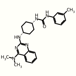 Cc1cccc(NC(=O)N[C@H]2CC[C@@H](Nc3nc(N(C)C)c4ccccc4n3)CC2)c1